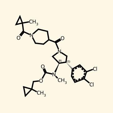 CN(C(=O)OCC1(C)CC1)[C@H]1CN(C(=O)C2CCN(C(=O)C3(C)CC3)CC2)C[C@@H]1c1ccc(Cl)c(Cl)c1